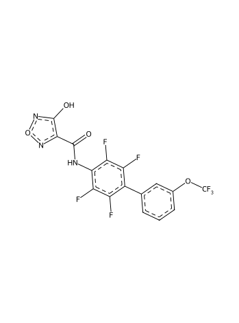 O=C(Nc1c(F)c(F)c(-c2cccc(OC(F)(F)F)c2)c(F)c1F)c1nonc1O